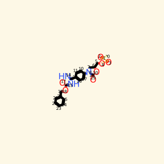 CS(=O)(=O)OCC1CN(c2ccc(C(=N)NC(=O)OCc3ccccc3)cc2)C(=O)O1